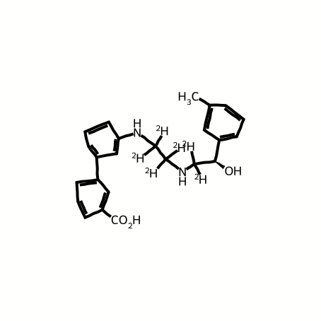 [2H]C([2H])(NC([2H])([2H])C([2H])([2H])Nc1cccc(-c2cccc(C(=O)O)c2)c1)[C@H](O)c1cccc(C)c1